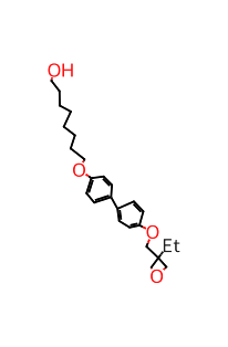 CCC1(COc2ccc(-c3ccc(OCCCCCCCCO)cc3)cc2)COC1